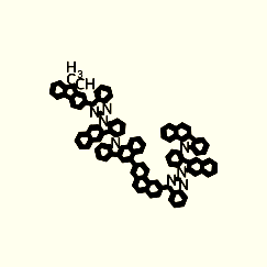 CC1(C)c2ccccc2-c2ccc(-c3nc(-n4c5cc6ccccc6cc5c5c(-n6c7ccccc7c7cc(-c8ccc9c(ccc%10ccc(-c%11nc(-n%12c%13cc%14ccccc%14cc%13c%13c(-n%14c%15ccccc%15c%15ccc%16ccccc%16c%15%14)cccc%13%12)nc%12ccccc%11%12)cc%109)c8)c8ccccc8c76)cccc54)nc4ccccc34)cc21